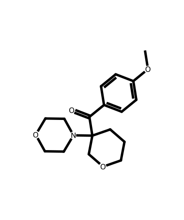 COc1ccc(C(=O)C2(N3CCOCC3)CCCOC2)cc1